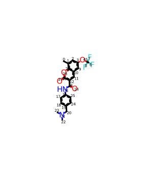 Cc1cc(OC(F)(F)F)cc2cc(C(=O)Nc3ccc(CN(C)C)cc3)c(=O)oc12